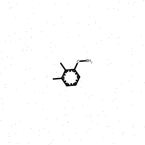 BOc1cccc(C)c1C